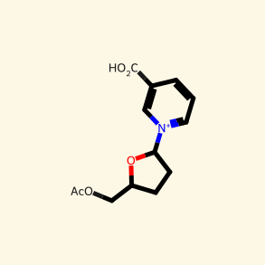 CC(=O)OCC1CCC([n+]2cccc(C(=O)O)c2)O1